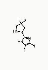 FC1(F)CNC(c2nc(I)c(I)[nH]2)C1